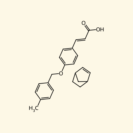 C1=CC2CCC1C2.Cc1ccc(COc2ccc(C=CC(=O)O)cc2)cc1